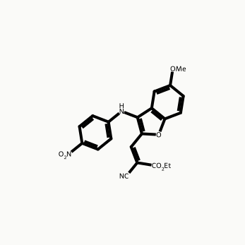 CCOC(=O)/C(C#N)=C\c1oc2ccc(OC)cc2c1Nc1ccc([N+](=O)[O-])cc1